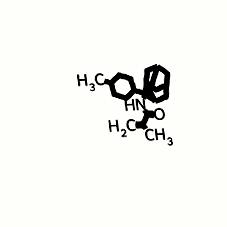 C=C(C)C(=O)NC1(C2CCC(C)CC2)C2CC3CC(C2)CC1C3